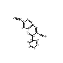 N#CC(=Cc1ccc(C#N)cc1)C(=O)c1ccccc1